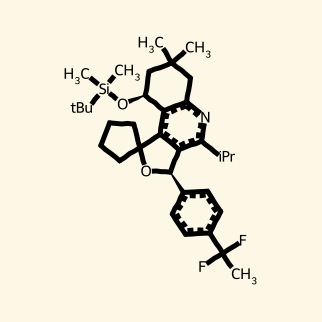 CC(C)c1nc2c(c3c1[C@@H](c1ccc(C(C)(F)F)cc1)OC31CCCC1)[C@@H](O[Si](C)(C)C(C)(C)C)CC(C)(C)C2